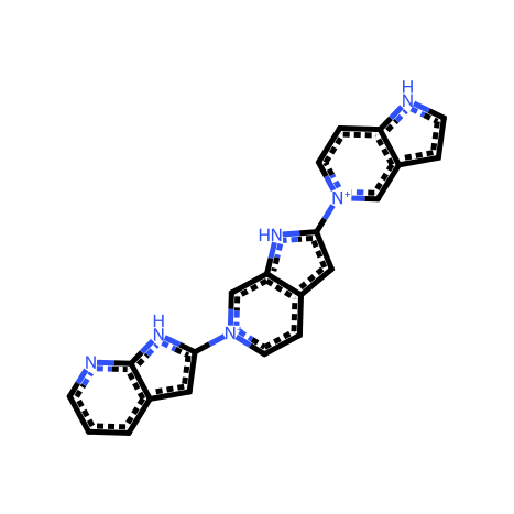 c1cnc2[nH]c(-[n+]3ccc4cc(-[n+]5ccc6[nH]ccc6c5)[nH]c4c3)cc2c1